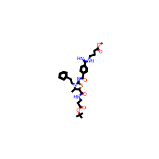 COC(=O)CCCNC(=N)c1ccc(C(=O)N=C2SC(C(=O)NCCC(=O)OC(C)(C)C)C(C)N2CCc2ccccc2)cc1